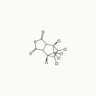 O=C1OC(=O)C2C1[C@]1(Cl)C(Cl)=C(Cl)[C@@]2(Cl)C1(Cl)Cl